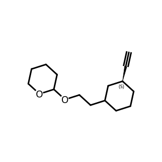 C#C[C@H]1CCCC(CCOC2CCCCO2)C1